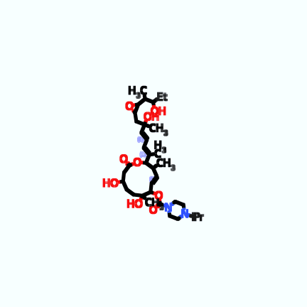 CCC(O)C(C)C1OC1CC(C)(O)/C=C/C=C(\C)C1OC(=O)CC(O)CCC(C)(O)C(OC(=O)N2CCN(C(C)C)CC2)/C=C/C1C